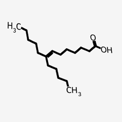 CCCCCC(=CCCCCCC(=O)O)CCCCC